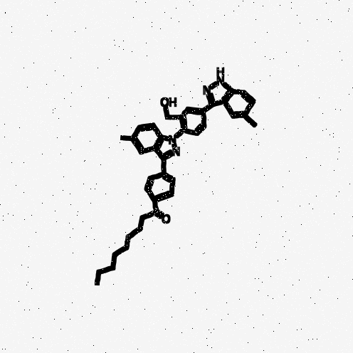 CCCCCCCCC(=O)c1ccc(-c2nn(-c3ccc(-c4n[nH]c5ccc(C)cc45)cc3CO)c3ccc(C)cc23)cc1